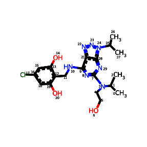 CC(C)N(CCO)c1nc(NCc2c(O)cc(Cl)cc2O)c2nnn(C(C)C)c2n1